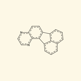 c1cc2c3c(cccc3c1)-c1c-2ccc2nccnc12